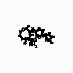 CC1OCCC/C(F)=C(C(N)=O)\C=C/1Cc1ccc(-c2ccn(C)n2)nc1